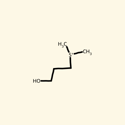 C[S+](C)CCCO